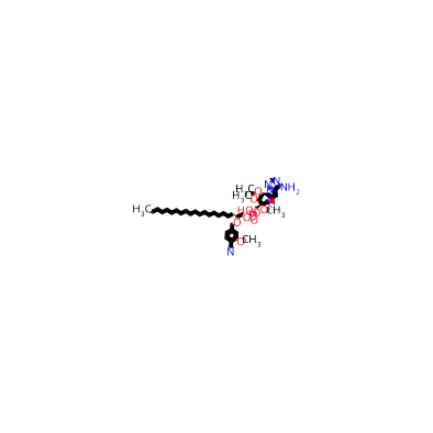 CCCCCCCCCCCCCCCCCCC[C@H](COP(=O)(O)OC[C@@](C#N)(OC)[C@H]1OC(C)(C)O[C@H]1c1ccc2c(N)ncnn12)OCc1ccc(C#N)c(OC)c1